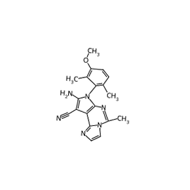 COc1ccc(C)c(-n2c(N)c(C#N)c3c2nc(C)n2ccnc32)c1C